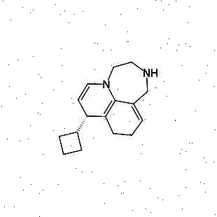 C1=CN2CCNCC3=CCCC(=C32)[C@@H]1C1CCC1